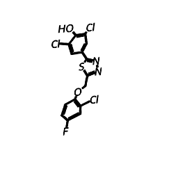 Oc1c(Cl)cc(-c2nnc(COc3ccc(F)cc3Cl)s2)cc1Cl